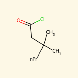 CCCC(C)(C)CC(=O)Cl